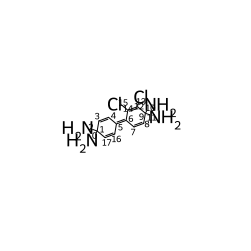 NC1(N)C=CC(=C2C=CC(N)(N)C(Cl)=C2Cl)C=C1